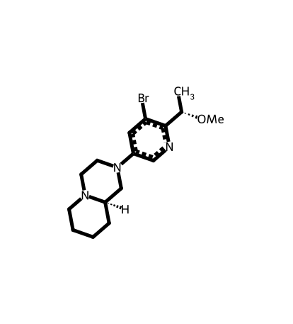 CO[C@@H](C)c1ncc(N2CCN3CCCC[C@@H]3C2)cc1Br